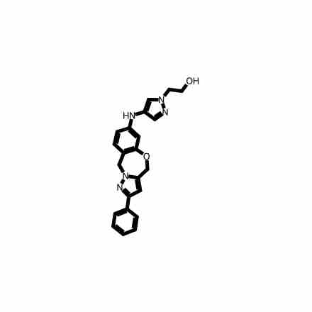 OCCn1cc(Nc2ccc3c(c2)OCc2cc(-c4ccccc4)nn2C3)cn1